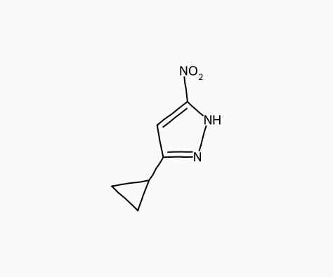 O=[N+]([O-])c1cc(C2CC2)n[nH]1